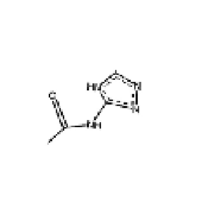 CC(=O)Nc1nn[c][nH]1